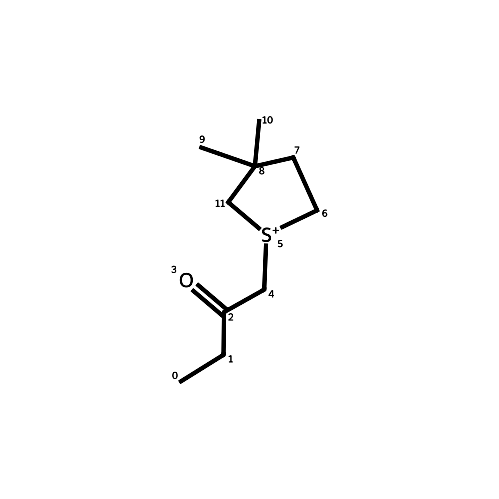 CCC(=O)C[S+]1CCC(C)(C)C1